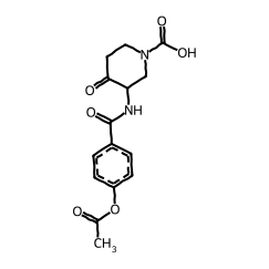 CC(=O)Oc1ccc(C(=O)NC2CN(C(=O)O)CCC2=O)cc1